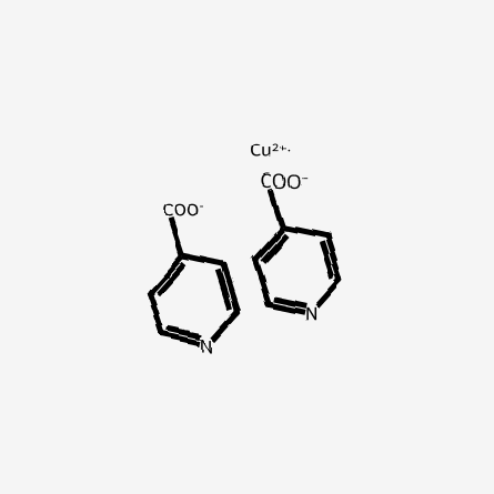 O=C([O-])c1ccncc1.O=C([O-])c1ccncc1.[Cu+2]